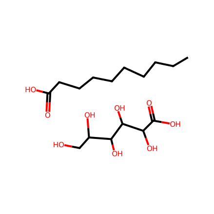 CCCCCCCCCC(=O)O.O=C(O)C(O)C(O)C(O)C(O)CO